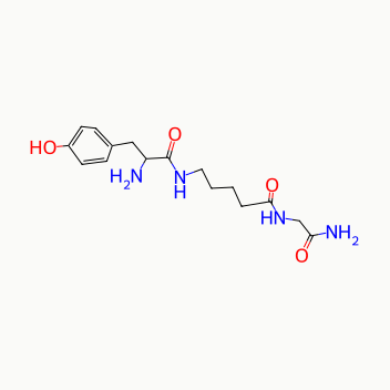 NC(=O)CNC(=O)CCCCNC(=O)C(N)Cc1ccc(O)cc1